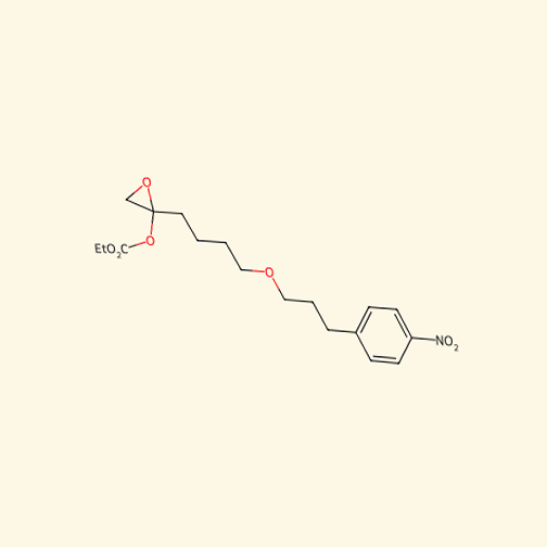 CCOC(=O)OC1(CCCCOCCCc2ccc([N+](=O)[O-])cc2)CO1